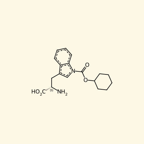 N[C@@H](Cc1cn(C(=O)OC2CCCCC2)c2ccccc12)C(=O)O